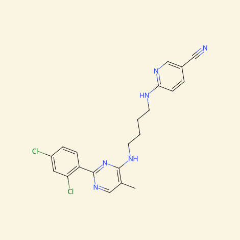 Cc1cnc(-c2ccc(Cl)cc2Cl)nc1NCCCCNc1ccc(C#N)cn1